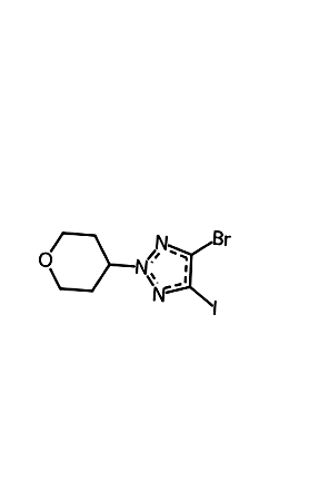 Brc1nn(C2CCOCC2)nc1I